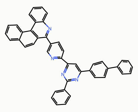 c1ccc(-c2ccc(-c3cc(-c4ccc(-c5nc6ccccc6c6c5ccc5ccccc56)cn4)nc(-c4ccccc4)n3)cc2)cc1